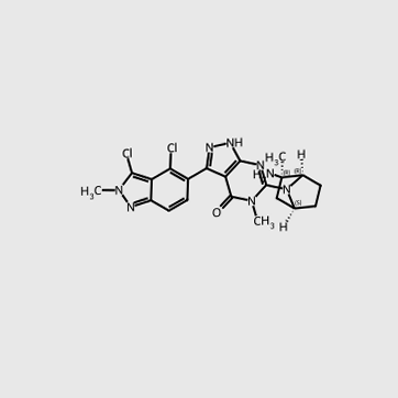 Cn1nc2ccc(-c3n[nH]c4nc(N5[C@H]6CC[C@@H]5[C@](C)(N)C6)n(C)c(=O)c34)c(Cl)c2c1Cl